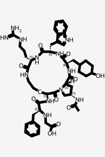 CC(=O)N[C@H]1C[C@H]2C(=O)N[C@H](CC3CCC(O)CC3)C(=O)N[C@@H](Cc3c[nH]c4ccccc34)C(=O)N[C@@H](CCCNC(=N)N)C(=O)NCCC[C@H](NC(=O)[C@H](Cc3ccccc3)NCC(=O)O)C(=O)N2C1